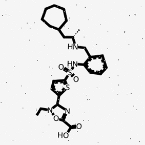 CCN1OC(C(=O)O)=NC1c1ccc(S(=O)(=O)Nc2ccccc2CN[C@@H](C)CC2CCCCCC2)s1